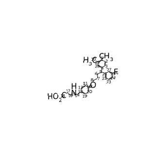 Cc1ccc(C(CCCOc2ccc(CNCCC(=O)O)cc2)c2cccc(F)c2)cc1C